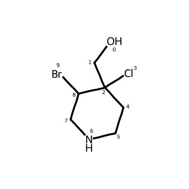 OCC1(Cl)CCNCC1Br